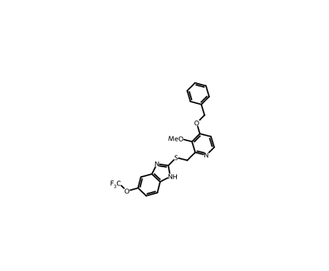 COc1c(OCc2ccccc2)ccnc1CSc1nc2cc(OC(F)(F)F)ccc2[nH]1